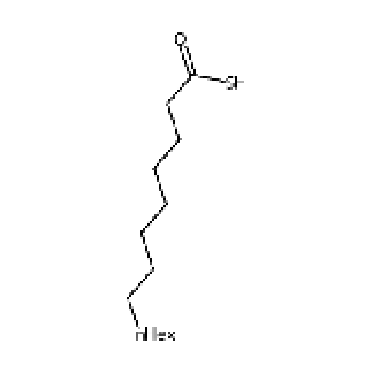 CCCCCCCCCCCCCC(=O)S